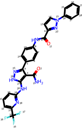 NC(=O)c1c(-c2ccc(NC(=O)c3ccn(-c4ccccc4)n3)cc2)n[nH]c1Nc1cccc(C(F)(F)F)n1